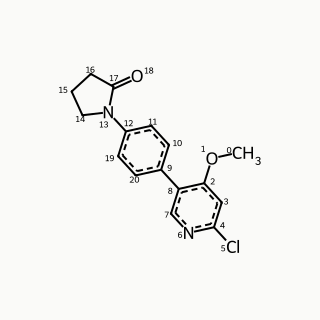 COc1cc(Cl)ncc1-c1ccc(N2CCCC2=O)cc1